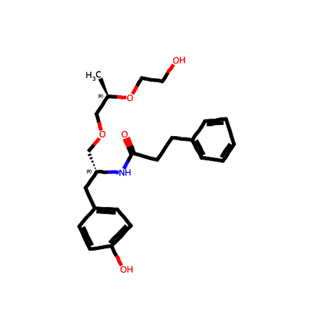 C[C@H](COC[C@@H](Cc1ccc(O)cc1)NC(=O)CCc1ccccc1)OCCO